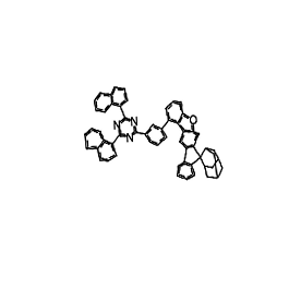 c1cc(-c2nc(-c3cccc4ccccc34)nc(-c3cccc4ccccc34)n2)cc(-c2cccc3oc4cc5c(cc4c23)-c2ccccc2C52C3CC4CC(C3)CC2C4)c1